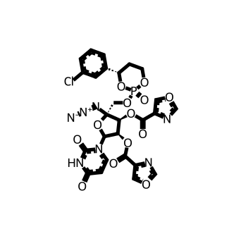 [N-]=[N+]=N[C@]1(COP2(=O)OCC[C@@H](c3cccc(Cl)c3)O2)OC(n2ccc(=O)[nH]c2=O)[C@H](OC(=O)c2cocn2)[C@@H]1OC(=O)c1cocn1